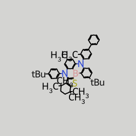 Cc1cc2c3c(c1)N(c1ccc(C(C)(C)C)cc1)c1c(sc4c1C(C)(C)CCC4(C)C)B3c1cc(C(C)(C)C)ccc1N2c1ccc(-c2ccccc2)cc1C